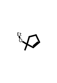 CCOC1(C)C=CCC1